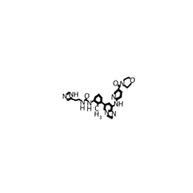 Cc1c(NC(=O)NCCc2cnc[nH]2)cccc1-c1cc(Nc2ccc(C(=O)N3CCOCC3)cn2)c2nccn2c1